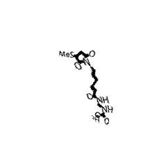 [2H]OC(=O)NCNC(=O)CCCCCN1C(=O)CC(SC)C1=O